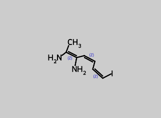 C\C(N)=C(N)/C=C\C=C/I